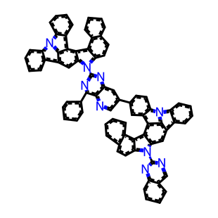 c1ccc(-c2nc(-n3c4ccc5ccccc5c4c4c5c6ccccc6n6c7ccccc7c(cc43)c56)nc3cc(-c4ccc5c(c4)c4c6c7c8ccccc8ccc7n(-c7ncc8ccccc8n7)c6cc6c7ccccc7n5c64)cnc23)cc1